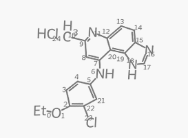 CCOc1ccc(Nc2cc(C)nc3ccc4nc[nH]c4c23)cc1Cl.Cl